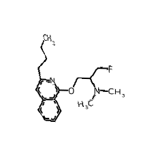 CCCCc1cc2ccccc2c(OCC(CF)N(C)C)n1